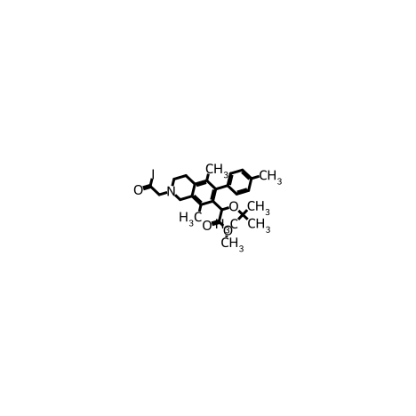 COC(=O)C(OC(C)(C)C)c1c(C)c2c(c(C)c1-c1ccc(C)cc1)CCN(CC(=O)I)C2